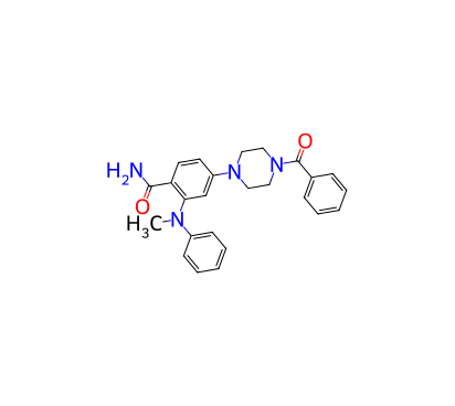 CN(c1ccccc1)c1cc(N2CCN(C(=O)c3ccccc3)CC2)ccc1C(N)=O